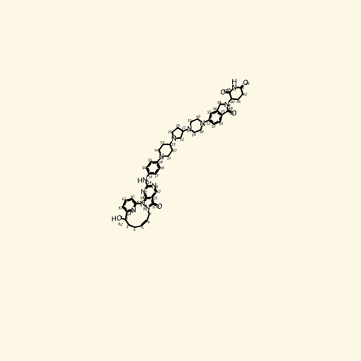 C[C@@]1(O)CC/C=C\Cn2c(=O)c3cnc(Nc4ccc(N5CCC(N6CCC(N7CCN(c8ccc9c(c8)CN(C8CCC(=O)NC8=O)C9=O)CC7)C6)CC5)cc4)nc3n2-c2cccc1n2